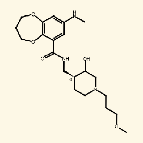 CNc1cc2c(c(C(=O)NC[C@@H]3CCN(CCCOC)CC3O)c1)OCCCO2